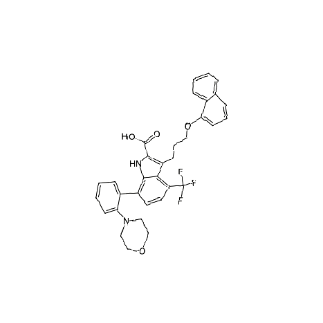 O=C(O)c1[nH]c2c(-c3ccccc3N3CCOCC3)ccc(C(F)(F)F)c2c1CCCOc1cccc2ccccc12